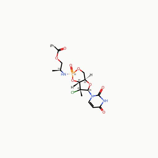 CC(C)C(=O)OC[C@H](C)N[P@]1(=O)OC[C@H]2O[C@@H](n3ccc(=O)[nH]c3=O)[C@](C)(Cl)[C@@H]2O1